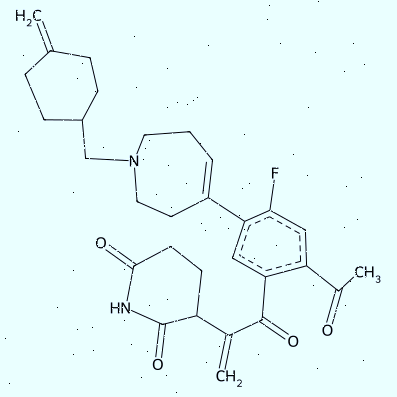 C=C1CCC(CN2CCC=C(c3cc(C(=O)C(=C)C4CCC(=O)NC4=O)c(C(C)=O)cc3F)CC2)CC1